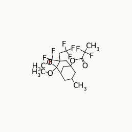 COC1(OC)C2CC(C)CC(OC(=O)C(C)(F)F)(C2)CC1(CC(F)(F)F)C(F)(F)F